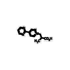 CC(C[n+]1ccc(-c2ncccn2)cn1)C(=O)O